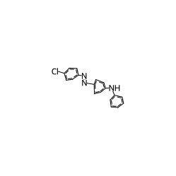 Clc1ccc(N=Nc2ccc(Nc3ccccc3)cc2)cc1